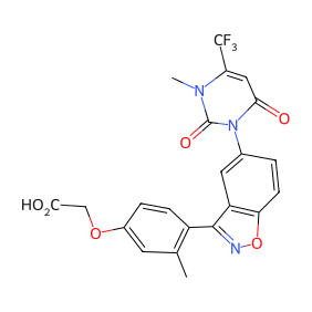 Cc1cc(OCC(=O)O)ccc1-c1noc2ccc(-n3c(=O)cc(C(F)(F)F)n(C)c3=O)cc12